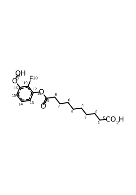 O=C(O)CCCCCCCCC(=O)Oc1cccc(OO)c1F